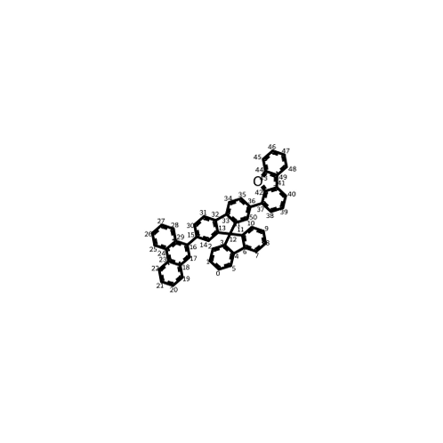 c1ccc2c(c1)-c1ccccc1C21c2cc(-c3cc4ccccc4c4ccccc34)ccc2-c2ccc(-c3cccc4c3oc3ccccc34)cc21